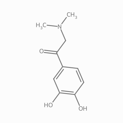 CN(C)CC(=O)c1ccc(O)c(O)c1